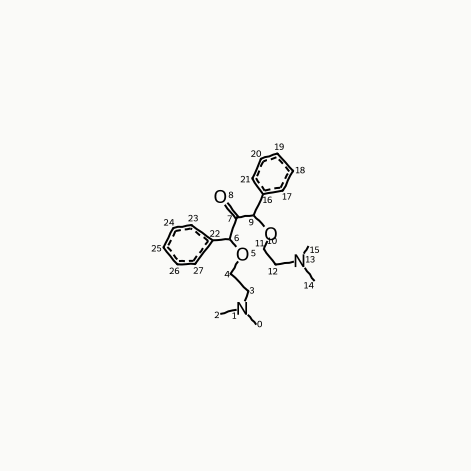 CN(C)CCOC(C(=O)C(OCCN(C)C)c1ccccc1)c1ccccc1